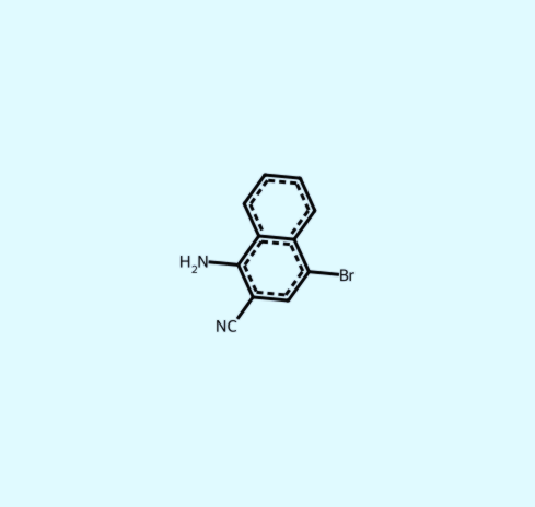 N#Cc1cc(Br)c2ccccc2c1N